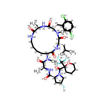 CC(C)C[C@@H]1NC(=O)[C@@H](N(C)C(=O)[C@H](C)NC(=O)[C@@H]2C[C@@H](F)CN2C(=O)C2(C(F)(F)F)CCCCO2)CCCCNC(=O)[C@@H](C)NC(=O)[C@H](Cc2cc(Cl)ccc2Cl)N(C)C1=O